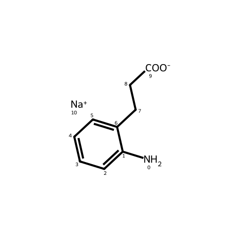 Nc1ccccc1CCC(=O)[O-].[Na+]